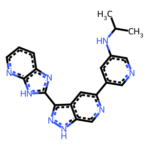 CC(C)Nc1cncc(-c2cc3c(-c4nc5cccnc5[nH]4)n[nH]c3cn2)c1